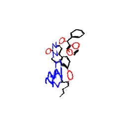 CCCCC(Oc1ccc2c(c1)CCn1c-2cc(OC(C2=CC=CCC2)C2=COC=CO2)nc1=O)c1nnn[nH]1